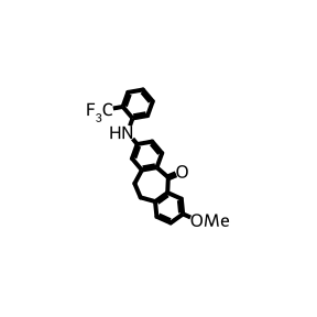 COc1ccc2c(c1)C(=O)c1ccc(Nc3ccccc3C(F)(F)F)cc1CC2